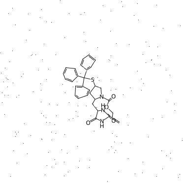 C=CCOC(=O)N1CC(SC(c2ccccc2)(c2ccccc2)c2ccccc2)CC1CC1NC(=O)NC1=O